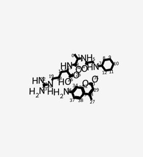 CC(NC(=O)CNC1CCCCC1)C(=O)NC(CCCNC(=N)N)C(=O)O.Cc1cc(=O)oc2cc(N)ccc12